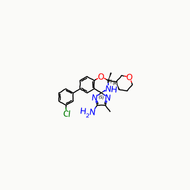 CC1=N[C@@]2(N=C1N)N[C@@](C)([C@@H]1CCCOC1)Oc1ccc(-c3cccc(Cl)c3)cc12